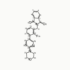 O=C1c2ccccc2C(=O)N1Cc1cccc(-c2cnc(N3CCOCC3)nc2)c1F